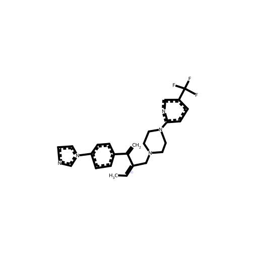 C=C(/C(=C\C)CN1CCN(c2ccc(C(F)(F)F)cn2)CC1)c1ccc(-n2ccnc2)cc1